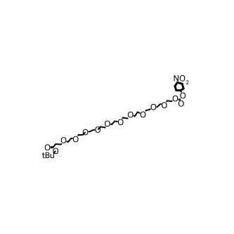 CC(C)(C)OC(=O)CCOCCOCCOCCOCCOCCOCCOCCOCCOCCOCCOC(=O)Oc1ccc([N+](=O)[O-])cc1